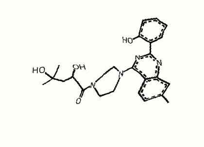 Cc1ccc2c(N3CCN(C(=O)C(O)CC(C)(C)O)CC3)nc(-c3ccccc3O)nc2c1